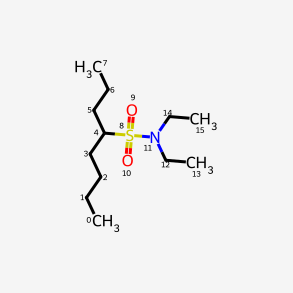 CCCCC(CCC)S(=O)(=O)N(CC)CC